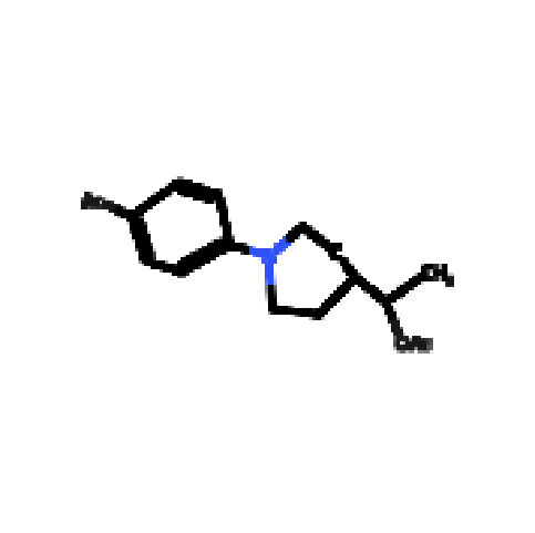 CC(=O)OC(C)C1CCN(c2ccc(C(C)=O)cc2)CC1